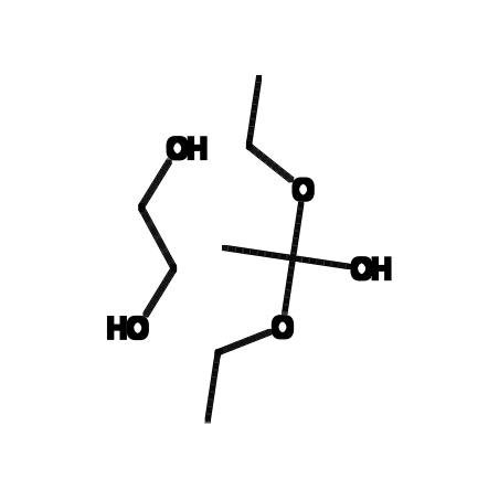 CCOC(C)(O)OCC.OCCO